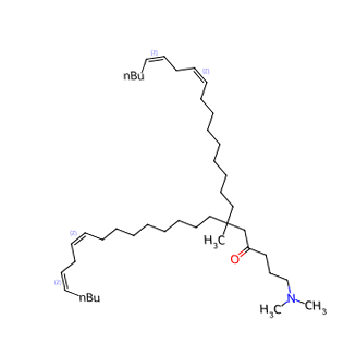 CCCC/C=C\C/C=C\CCCCCCCCC(C)(CCCCCCCC/C=C\C/C=C\CCCC)CC(=O)CCCN(C)C